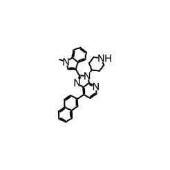 Cn1cc(-c2nc3c(-c4ccc5ccccc5c4)ccnc3n2C2CCNCC2)c2ccccc21